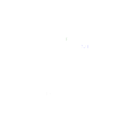 Cc1ccc(C(=CF)CN)cc1